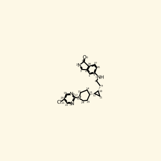 O=C1N=Cc2cc(NCC[C@@H]3C[C@@H]3C3CCN(c4ncc(Cl)cn4)CC3)ccc21